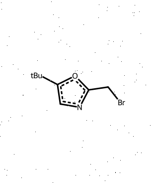 CC(C)(C)c1cnc(CBr)o1